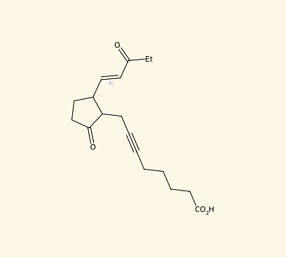 CCC(=O)/C=C/C1CCC(=O)C1CC#CCCCCC(=O)O